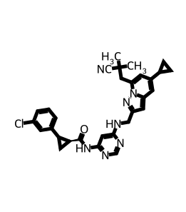 CC(C)(C#N)Cc1cc(C2CC2)cc2cc(CNc3cc(NC(=O)[C@H]4CC4c4cccc(Cl)c4)ncn3)nn12